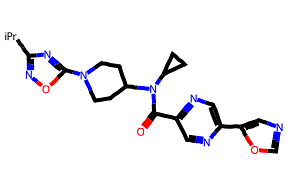 CC(C)c1noc(N2CCC(N(C(=O)c3cnc(-c4cnco4)cn3)C3CC3)CC2)n1